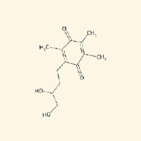 CC1=C(C)C(=O)C(CCC(O)CO)=C(C)C1=O